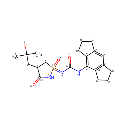 CC(C)(O)CC1CS(=O)(=NC(=O)Nc2c3c(cc4c2CCC4)CCC3)NC1=O